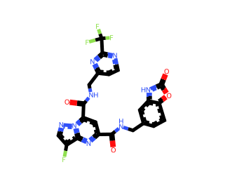 O=C(NCc1ccc2oc(=O)[nH]c2c1)c1cc(C(=O)NCc2ccnc(C(F)(F)F)n2)n2ncc(F)c2n1